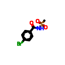 CS(=O)(=O)NC(=O)c1ccc(Br)cc1